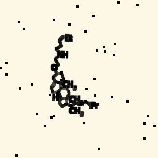 CC/C=C\CCNCCO[C@H]1CC[C@@]2(C)C(=CC[C@@H]3C2CC[C@@]2(C)C3CC[C@@H]2C(C)CCCC(C)C)C1